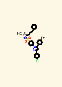 CCc1ccc(-c2cc(-c3ccc(Cl)cc3)nn2-c2ccc(S(=O)(=O)N(C)C(CCCc3ccccc3)C(=O)O)cc2)cc1